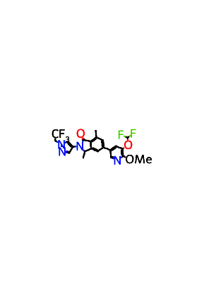 COc1ncc(-c2cc(C)c3c(c2)C(C)N(c2cnn(CC(F)(F)F)c2)C3=O)cc1OC(F)F